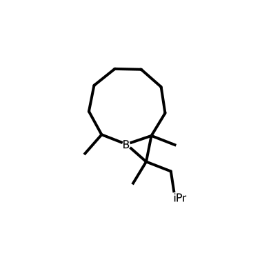 CC(C)CC1(C)B2C(C)CCCCCCC21C